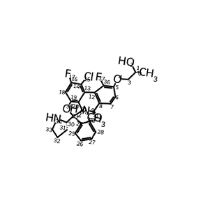 C[C@H](O)COc1ccc(C(N)=O)c(-c2c(Cl)c(F)cc3c2[C@H](C)[C@](c2ccccc2)([C@@H]2CCCN2)O3)c1F